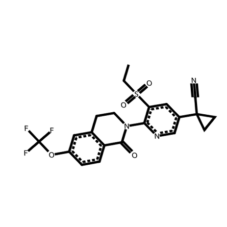 CCS(=O)(=O)c1cc(C2(C#N)CC2)cnc1N1CCc2cc(OC(F)(F)F)ccc2C1=O